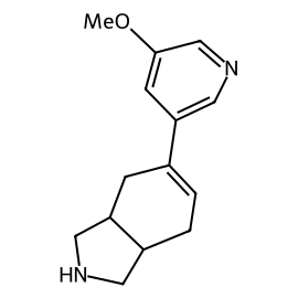 COc1cncc(C2=CCC3CNCC3C2)c1